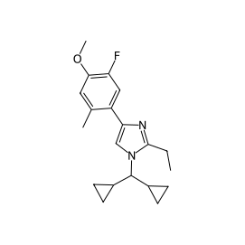 CCc1nc(-c2cc(F)c(OC)cc2C)cn1C(C1CC1)C1CC1